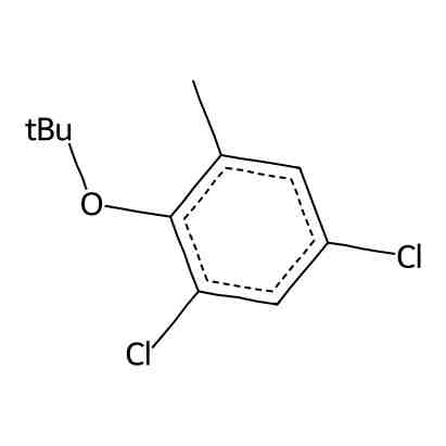 Cc1cc(Cl)cc(Cl)c1OC(C)(C)C